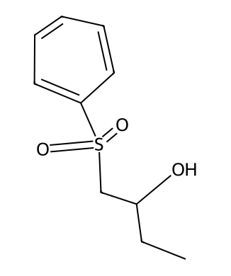 CCC(O)CS(=O)(=O)c1ccccc1